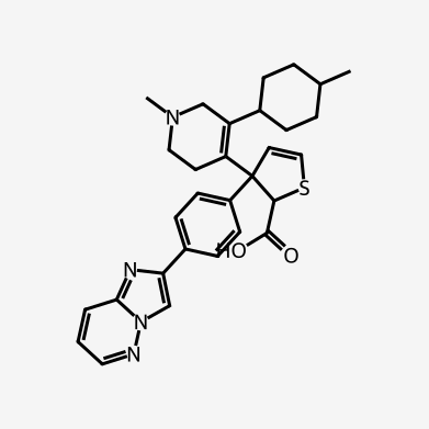 CC1CCC(C2=C(C3(c4ccc(-c5cn6ncccc6n5)cc4)C=CSC3C(=O)O)CCN(C)C2)CC1